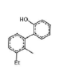 [CH2]Cc1cccc(-c2ccccc2O)c1C